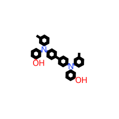 Cc1cccc(N(c2ccc(-c3ccc(N(c4cccc(C)c4)c4cccc(O)c4)cc3)cc2)c2cccc(O)c2)c1